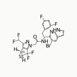 O=C(Cn1nc(C(F)F)c2c1C(F)(F)[C@@H]1C[C@H]21)NC(Cc1cc(F)cc(F)c1)c1nc2[nH]ccc2cc1Br